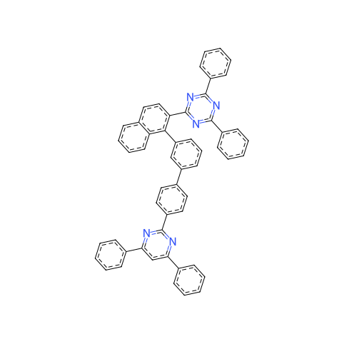 c1ccc(-c2cc(-c3ccccc3)nc(-c3ccc(-c4cccc(-c5c(-c6nc(-c7ccccc7)nc(-c7ccccc7)n6)ccc6ccccc56)c4)cc3)n2)cc1